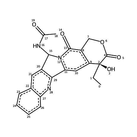 CC[C@@]1(O)C(=O)OCc2c1cc1n(c2=O)C(NC(C)=O)c2cc3ccccc3nc2-1